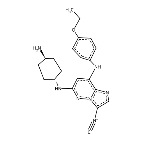 [C-]#[N+]c1cnc2c(Nc3ccc(OCC)cc3)cc(N[C@H]3CC[C@H](N)CC3)nn12